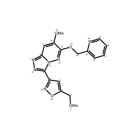 COCc1cc(-c2nnc3cc(OC)c(OCc4ccccn4)nn23)no1